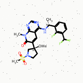 CO[C@@]1(c2cc3c(N[C@H](C)c4cccc(C(F)F)c4F)ncnc3n(C)c2=O)CCN(S(C)(=O)=O)C1